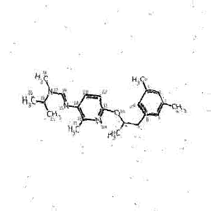 Cc1cc(C)cc(CC(C)Oc2ccc(/N=C/N(C)C(C)C)c(C)n2)c1